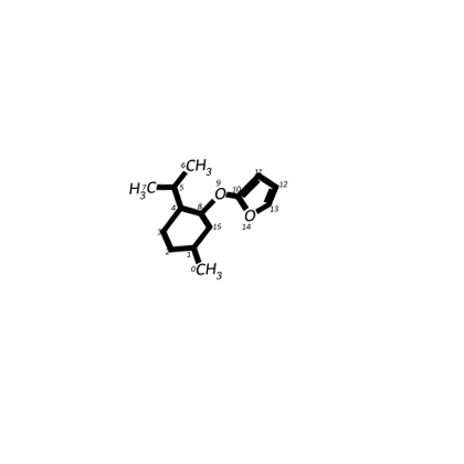 CC1CCC(C(C)C)C(Oc2ccco2)C1